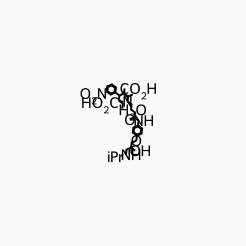 CC1=C(C(=O)O)C(c2cccc([N+](=O)[O-])c2)C(C(=O)O)=C(C)N1CCCC(=O)Nc1ccc(OCC(O)CNC(C)C)cc1.O